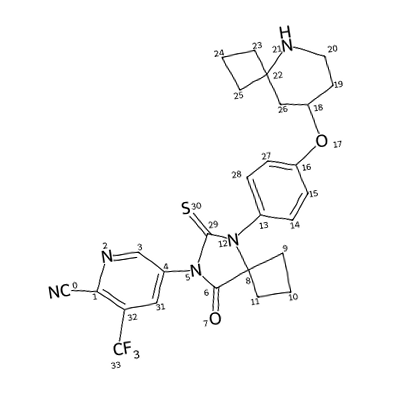 N#Cc1ncc(N2C(=O)C3(CCC3)N(c3ccc(OC4CCNC5(CCC5)C4)cc3)C2=S)cc1C(F)(F)F